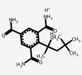 CC(C)(C)CC(C)(C)c1c(C(N)=O)cc(C(N)=O)cc1C(N)=O.[H+]